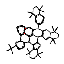 Cc1cc2c3c(c1)N(c1ccc(C(C)(C)C)cc1-c1ccccc1)c1c(sc4c1C(C)(C)CCC4(C)C)B3C1=C(CC3C(=C1)C(C)(C)CCC3(C)C)N2c1ccc2c(c1)C(C)(C)CCC2(C)C